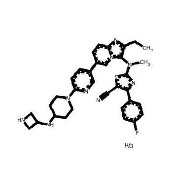 CCc1nc2ccc(-c3ccc(N4CCC(NC5CNC5)CC4)nc3)cn2c1N(C)c1nc(-c2ccc(F)cc2)c(C#N)s1.Cl